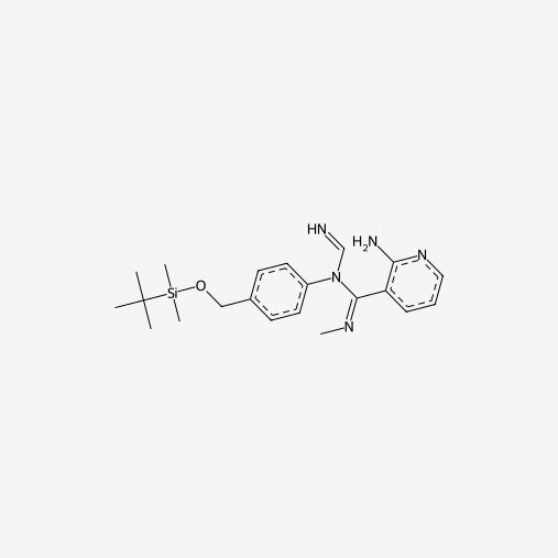 CN=C(c1cccnc1N)N(C=N)c1ccc(CO[Si](C)(C)C(C)(C)C)cc1